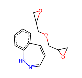 C(OCC1CO1)C1CO1.C1=Cc2ccccc2NN=C1